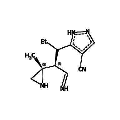 CCC(c1[nH]ncc1C#N)[C@@H](C=N)[C@@]1(C)CN1